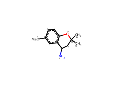 COc1ccc2c(c1)C(N)CC(C)(C)O2